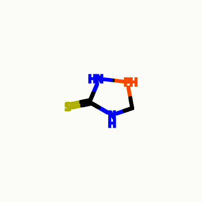 S=C1NCPN1